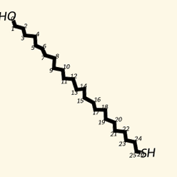 OCCCCCCCCCCCCCCCCCCCCCCCCCS